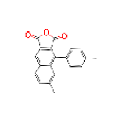 Cc1ccc(-c2c3c(cc4ccc(C)cc24)C(=O)OC3=O)cc1